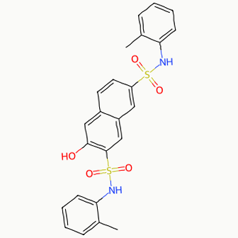 Cc1ccccc1NS(=O)(=O)c1ccc2cc(O)c(S(=O)(=O)Nc3ccccc3C)cc2c1